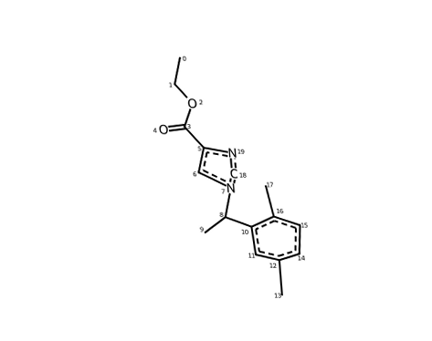 CCOC(=O)c1cn(C(C)c2cc(C)ccc2C)cn1